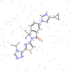 CC(C)n1cnnc1-c1nc(N2C(=O)c3cc(-n4cnc(C5CC5)c4)ccc3C2(C)C)cs1